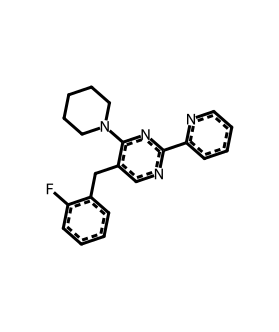 Fc1ccccc1Cc1cnc(-c2ccccn2)nc1N1CCCCC1